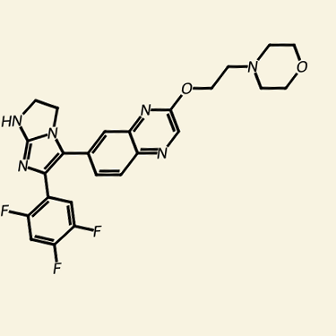 Fc1cc(F)c(-c2nc3n(c2-c2ccc4ncc(OCCN5CCOCC5)nc4c2)CCN3)cc1F